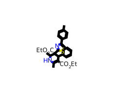 CCOC(=O)C1=C(C)NC(C)C(C(=O)OCC)(c2nc(-c3ccc(C)cc3)cs2)C1c1ccccc1